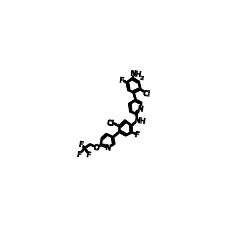 Nc1cc(Cl)c(-c2ccc(Nc3cc(Cl)c(-c4ccc(OCC(F)(F)F)nc4)cc3F)nc2)cc1F